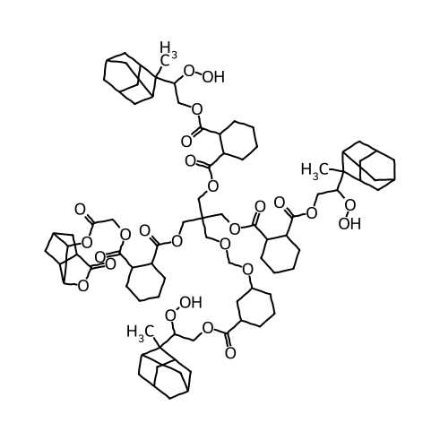 CC1(C(COC(=O)C2CCCC(OCOCC(COC(=O)C3CCCCC3C(=O)OCC(=O)OC3C4CC5C(=O)OC3C5C4)(COC(=O)C3CCCCC3C(=O)OCC(OO)C3(C)C4CC5CC(C4)CC3C5)COC(=O)C3CCCCC3C(=O)OCC(OO)C3(C)C4CC5CC(C4)CC3C5)C2)OO)C2CC3CC(C2)CC1C3